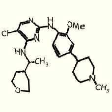 COc1cc(C2CCN(C)CC2)ccc1Nc1ncc(Cl)c(N[C@@H](C)C2CCOCC2)n1